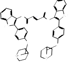 O=C(/C=C/C(=O)Oc1c(-c2ccc(OC3CN4CCC3CC4)cc2)[nH]c2ccccc12)Oc1c(-c2ccc(OC3CN4CCC3CC4)cc2)[nH]c2ccccc12